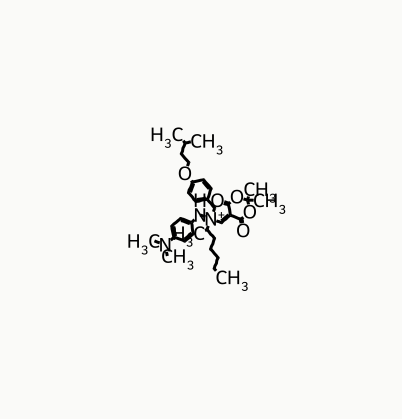 CCCCCC(C)[N+](C=C1C(=O)OC(C)(C)OC1=O)(Cc1ccc(OCCC(C)C)cc1)Nc1ccc(N(C)C)cc1